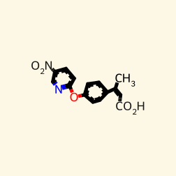 C/C(=C/C(=O)O)c1ccc(Oc2ccc([N+](=O)[O-])cn2)cc1